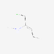 CCCCN/C(=C\CC(=O)OCC)CCl